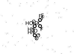 COc1ccc(NC(=O)Nc2ccc(OC(c3ccc(F)cc3)c3ccc(C(F)(F)F)cc3)c(C(=O)O)c2)cc1OC